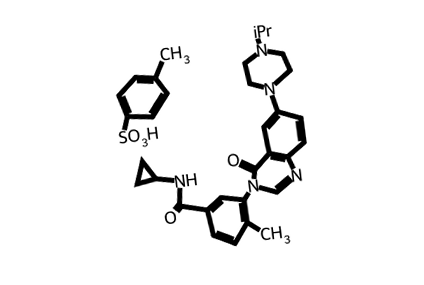 Cc1ccc(C(=O)NC2CC2)cc1-n1cnc2ccc(N3CCN(C(C)C)CC3)cc2c1=O.Cc1ccc(S(=O)(=O)O)cc1